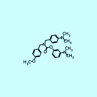 COc1ccc(CN(Cc2ccc(N(C)C)cc2)C(=O)Oc2cccc(N(C)C)c2)cc1